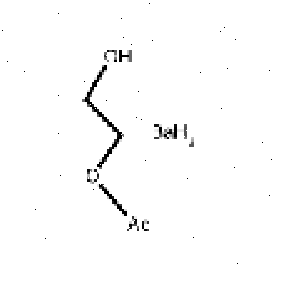 CC(=O)OCCO.[BaH2]